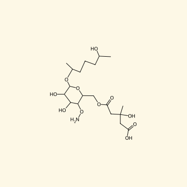 CC(O)CCCC(C)OC1OC(COC(=O)CC(C)(O)CC(=O)O)C(ON)C(O)C1O